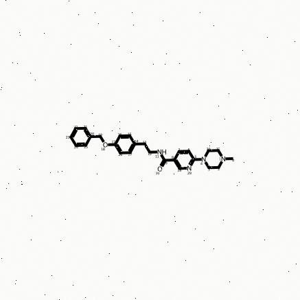 CN1CCN(c2ccc(C(=O)NCCc3ccc(OCc4ccccc4)cc3)cn2)CC1